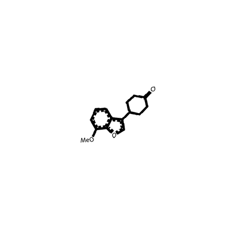 COc1cccc2c(C3CCC(=O)CC3)coc12